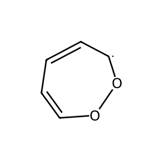 [CH]1C=CC=COO1